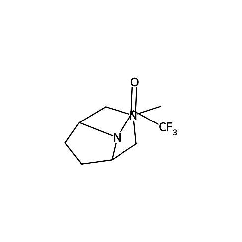 CN1CC2CCC(C1)N2C(=O)C(F)(F)F